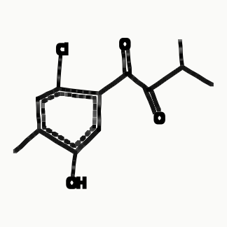 Cc1cc(Cl)c(C(=O)C(=O)C(C)C)cc1O